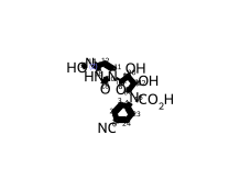 N#Cc1ccc(N(C(=O)O)[C@@H]2O[C@@H](n3cc/c(=N/O)[nH]c3=O)[C@H](O)[C@@H]2O)cc1